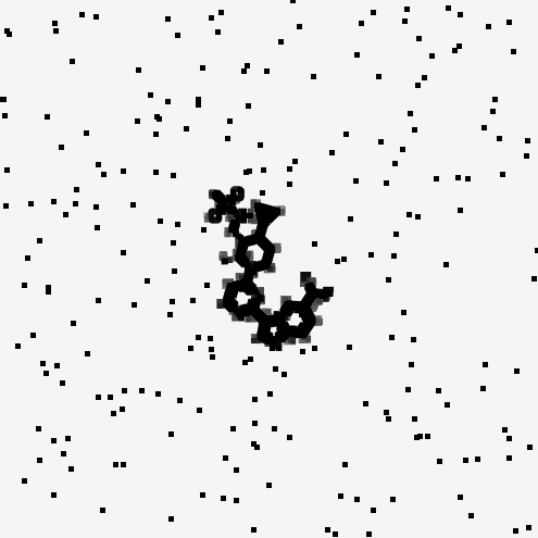 C[C@@H]1[C@H](CNS(C)(=O)=O)C(C2CC2)CCN1c1ccnc(-c2cnc3ccc(C(F)F)cn23)n1